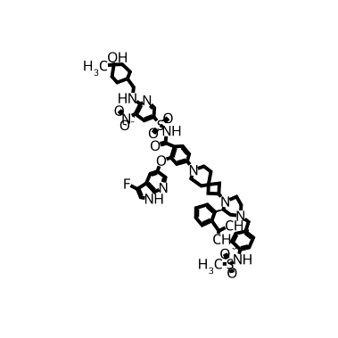 CC(C)c1ccccc1[C@@H]1CN(Cc2ccc(NS(C)(=O)=O)cc2)CCN1C1CC2(CCN(c3ccc(C(=O)NS(=O)(=O)c4cnc(NCC5CCC(C)(O)CC5)c([N+](=O)[O-])c4)c(Oc4cnc5[nH]cc(F)c5c4)c3)CC2)C1